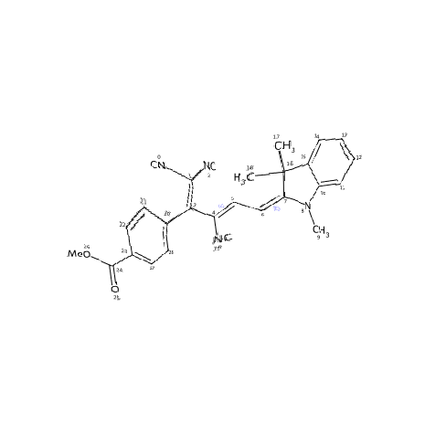 [C-]#[N+]C([N+]#[C-])=C(/C(=C/C=C1/N(C)c2ccccc2C1(C)C)[N+]#[C-])c1ccc(C(=O)OC)cc1